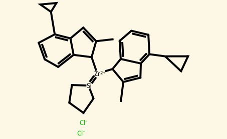 CC1=Cc2c(C3CC3)cccc2[CH]1[Zr+2]([CH]1C(C)=Cc2c(C3CC3)cccc21)=[Si]1CCCC1.[Cl-].[Cl-]